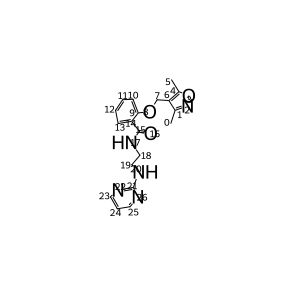 Cc1noc(C)c1COc1ccccc1C(=O)NCCNc1ncccn1